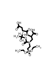 CCOP(=O)(CCN(CC(NC(=O)CCC(=O)O)C(=O)O)C(=O)OC(C)(C)C)OCC